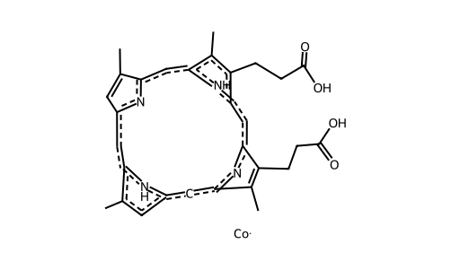 CC1=Cc2cc3[nH]c(cc4nc(cc5[nH]c(cc1n2)c(C)c5CCC(=O)O)C(CCC(=O)O)=C4C)cc3C.[Co]